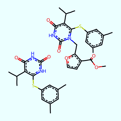 COC(=O)c1ccoc1Cn1c(Sc2cc(C)cc(C)c2)c(C(C)C)c(=O)[nH]c1=O.Cc1cc(C)cc(Sc2[nH]c(=O)[nH]c(=O)c2C(C)C)c1